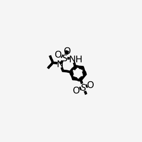 CC(C)N1Cc2cc(S(C)(=O)=O)ccc2NS1(=O)=O